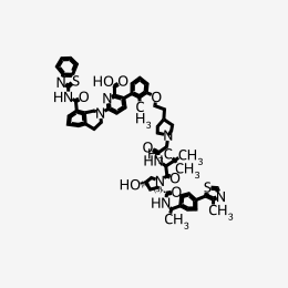 Cc1ncsc1-c1ccc(C(C)NC(=O)[C@@H]2C[C@@H](O)CN2C(=O)C(NC(=O)CN2CCC(CCOc3cccc(-c4ccc(N5CCc6cccc(C(=O)Nc7nc8ccccc8s7)c6C5)nc4C(=O)O)c3C)CC2)C(C)(C)C)cc1